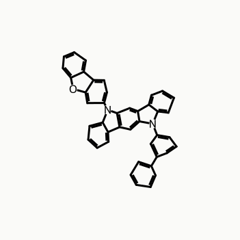 c1ccc(-c2cccc(-n3c4ccccc4c4cc5c(cc43)c3ccccc3n5-c3ccc4c(c3)oc3ccccc34)c2)cc1